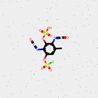 Cc1cc(OS(=O)(=O)Cl)c(N=C=O)c(OS(=O)(=O)O)c1N=C=O